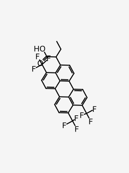 CCC(C(=O)O)c1ccc2c3ccc(C(F)(F)F)c4c(C(F)(F)F)ccc(c5ccc(C(F)(F)F)c1c25)c43